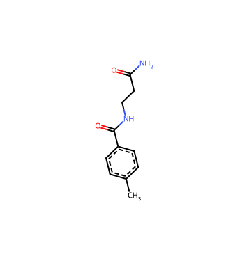 Cc1ccc(C(=O)NCCC(N)=O)cc1